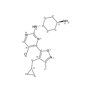 Cc1noc(-c2nc(N[C@H]3CC[C@H](N)CC3)ncc2Cl)c1CC1CC1